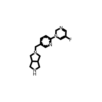 FC1=CN(c2ccc(CN3CC4CNCC4C3)cn2)CN=C1